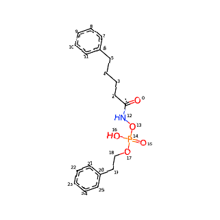 O=C(CCCCc1ccccc1)NOP(=O)(O)OCCc1ccccc1